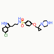 O=S(=O)(NCCCc1c[nH]c2ccc(Cl)cc12)c1ccc(OCC2(CN3CCNCC3)CC2)cc1